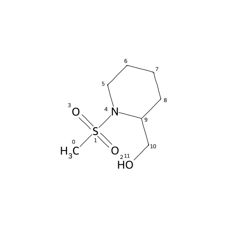 CS(=O)(=O)N1CCCCC1CO